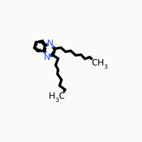 CCCCCCCCc1nc2ccccc2nc1CCCCCCCC